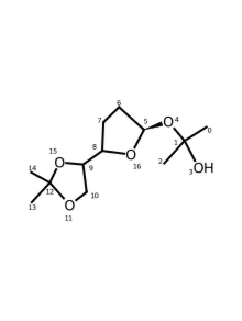 CC(C)(O)O[C@@H]1CCC(C2COC(C)(C)O2)O1